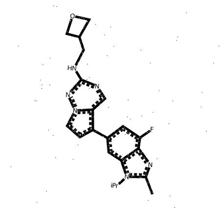 Cc1nc2c(F)cc(-c3ccn4nc(NCC5COC5)ncc34)cc2n1C(C)C